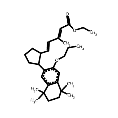 CCCOc1cc2c(cc1C1CCCC1C=CC(C)=CC(=O)OCC)C(C)(C)CCC2(C)C